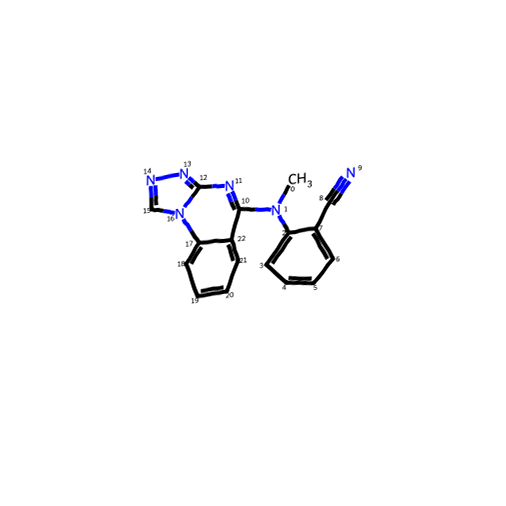 CN(c1ccccc1C#N)c1nc2nncn2c2ccccc12